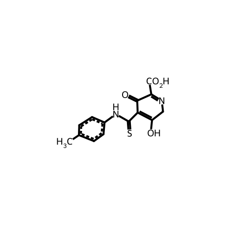 Cc1ccc(NC(=S)C2=C(O)CN=C(C(=O)O)C2=O)cc1